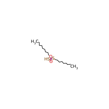 CCCCCCCCCOP(=O)(S)SCCCCCCCCC